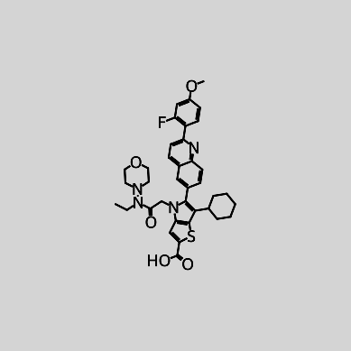 CCN(C(=O)Cn1c(-c2ccc3nc(-c4ccc(OC)cc4F)ccc3c2)c(C2CCCCC2)c2sc(C(=O)O)cc21)N1CCOCC1